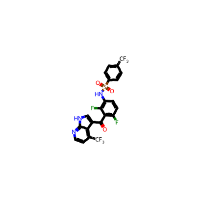 O=C(c1c(F)ccc(NS(=O)(=O)c2ccc(C(F)(F)F)cc2)c1F)c1c[nH]c2nccc(C(F)(F)F)c12